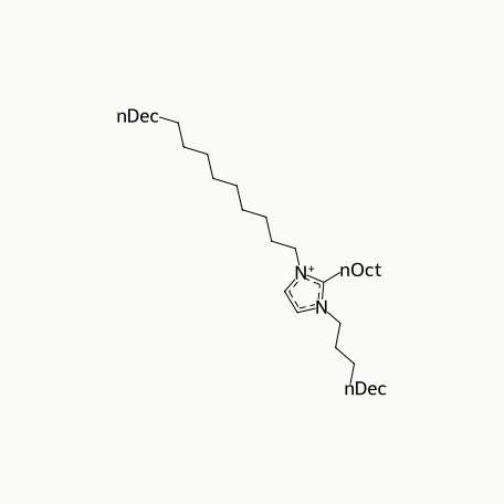 CCCCCCCCCCCCCCCCCCC[n+]1ccn(CCCCCCCCCCCCC)c1CCCCCCCC